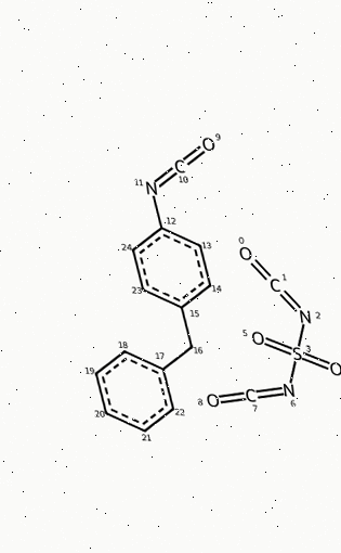 O=C=NS(=O)(=O)N=C=O.O=C=Nc1ccc(Cc2ccccc2)cc1